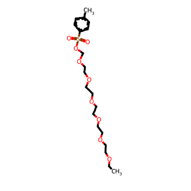 CCOCCOCCOCCOCCOCCOCOS(=O)(=O)c1ccc(C)cc1